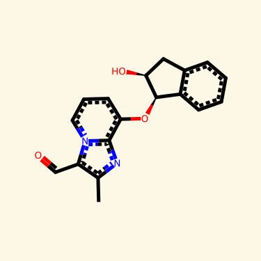 Cc1nc2c(O[C@@H]3c4ccccc4C[C@@H]3O)cccn2c1C=O